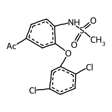 CC(=O)c1ccc(NS(C)(=O)=O)c(Oc2cc(Cl)ccc2Cl)c1